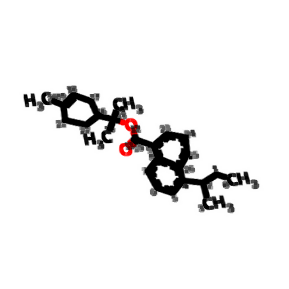 CCC(C)c1cccc2c(C(=O)OC(C)(C)C3CC=C(C)CC3)cccc12